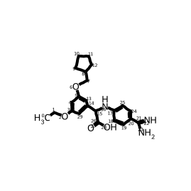 CCOc1cc(OCC2CCCC2)cc(C(Nc2ccc(C(=N)N)cc2)C(=O)O)c1